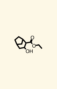 CCOC(=O)C1C(O)CC2CCC1C2